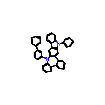 c1ccc(-c2cccc(N3c4ccccc4-c4ccccc4-c4cc5c(cc43)c3ccccc3n5-c3ccccc3)c2)cc1